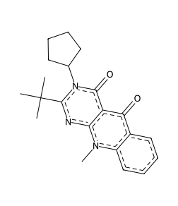 Cn1c2ccccc2c(=O)c2c(=O)n(C3CCCC3)c(C(C)(C)C)nc21